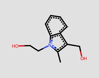 Cc1c(CO)c2[c]cccc2n1CCO